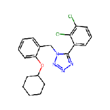 Clc1cccc(-c2nnnn2Cc2ccccc2OC2CCCCC2)c1Cl